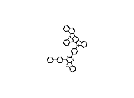 c1ccc(-c2ccc(-c3nc(-c4ccc(-n5c6ccccc6c6cc7c8ccc9ccccc9c8n8c9ccccc9c(c65)c78)cc4)nc4c3oc3ccccc34)cc2)cc1